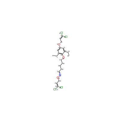 CCc1cc(OCC=C(Cl)Cl)cc(CC)c1OCCCCC=NOCC=C(Cl)Cl